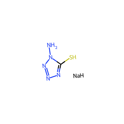 Nn1nnnc1S.[NaH]